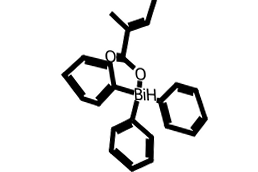 CC=C(C)C(=O)[O][BiH]([c]1ccccc1)([c]1ccccc1)[c]1ccccc1